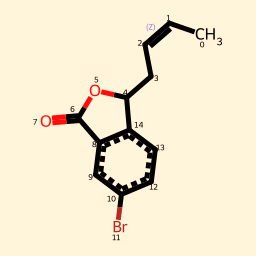 C/C=C\CC1OC(=O)c2cc(Br)ccc21